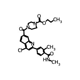 CCCOC(=O)N1CCN(C(=O)c2ccc3c(Cl)cc(-c4ccc(C(=O)NC)c(C)c4)nc3c2)CC1